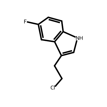 Fc1ccc2[nH]cc(CCCl)c2c1